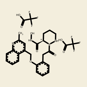 Cc1cc(COc2ccccc2CC(=O)N2NCCC[C@@H]2C(=O)NO)c2ccccc2n1.O=C(O)C(F)(F)F.O=C(O)C(F)(F)F